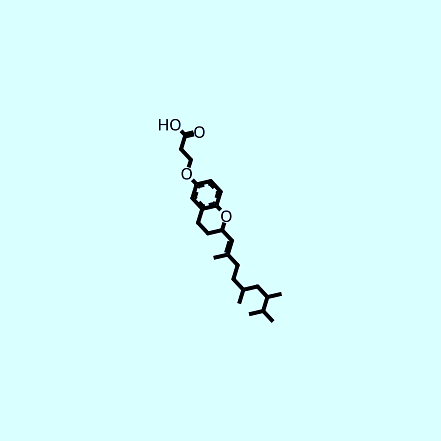 C/C(=C\C1CCc2cc(OCCC(=O)O)ccc2O1)CCC(C)CC(C)C(C)C